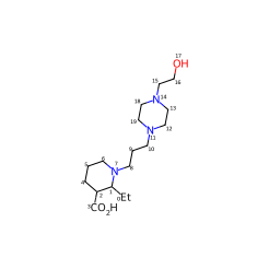 CCC1C(C(=O)O)CCCN1CCCN1CCN(CCO)CC1